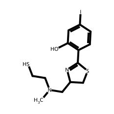 CN(CCS)CC1CSC(c2ccc(I)cc2O)=N1